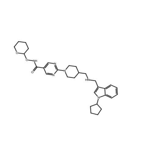 O=C(NOC1CCCCO1)c1cnc(N2CCC(CNCc3cn(C4CCCC4)c4ccccc34)CC2)nc1